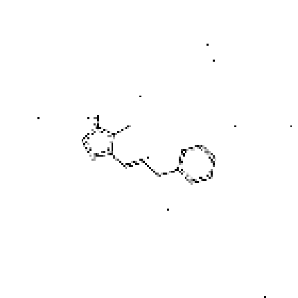 Cc1[nH]cnc1C=CCc1ccccc1